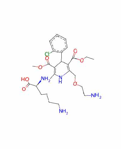 CCOC(=O)C1=C(COCCN)NC(C)=C(C(=O)OC)C1c1ccccc1Cl.NCCCC[C@H](N)C(=O)O